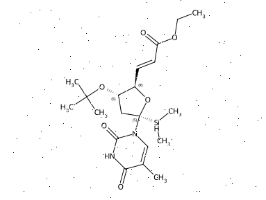 CCOC(=O)C=C[C@H]1O[C@](n2cc(C)c(=O)[nH]c2=O)([SiH](C)C)C[C@@H]1OC(C)(C)C